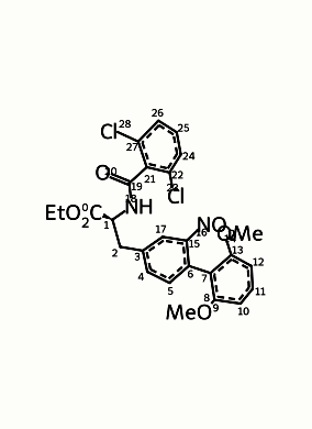 CCOC(=O)[C@H](Cc1ccc(-c2c(OC)cccc2OC)c([N+](=O)[O-])c1)NC(=O)c1c(Cl)cccc1Cl